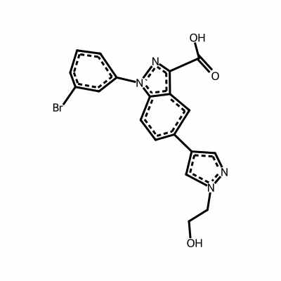 O=C(O)c1nn(-c2cccc(Br)c2)c2ccc(-c3cnn(CCO)c3)cc12